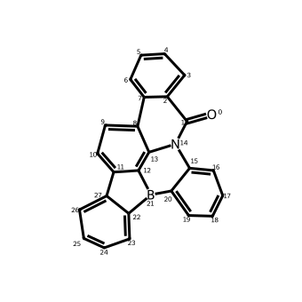 O=c1c2ccccc2c2ccc3c4c2n1-c1ccccc1B4c1ccccc1-3